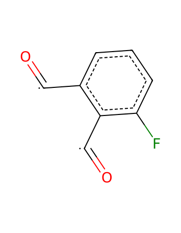 O=[C]c1cccc(F)c1[C]=O